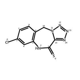 S=C1Nc2cc(Cl)ccc2Cn2nnnc21